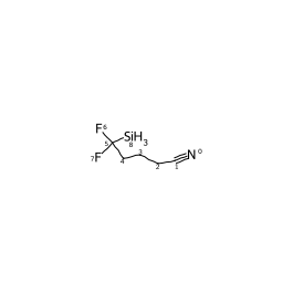 N#CCCCC(F)(F)[SiH3]